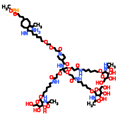 COPOCCCC1CCCC(C(=N)CCC/C=C/COCCOCCC(=O)N2CCC(C(=O)NC(COCCC(=O)NCCCCCCOC3OC(CO)C(O)C(O)C3NC(C)=O)(COCCC(=O)NCCCCCCOC3OC(CO)C(O)C(O)C3NC(C)=O)COCCC(=O)NCCCCCCOC3OC(CO)C(O)C(O)C3NC(C)=O)CC2)/C(=C(/C)N)CC1